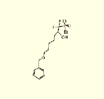 CCP(=O)(CC)C(F)(F)C(O)CCCCCOCc1ccccc1